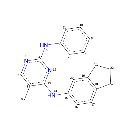 Cc1cnc(Nc2ccccc2)nc1Nc1ccc2c(c1)CCC2